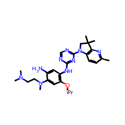 Cc1ccc2c(n1)C(C)(C)CN2c1ncnc(Nc2cc(N)c(N(C)CCN(C)C)cc2OC(C)C)n1